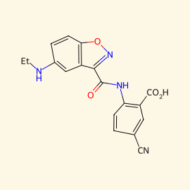 CCNc1ccc2onc(C(=O)Nc3ccc(C#N)cc3C(=O)O)c2c1